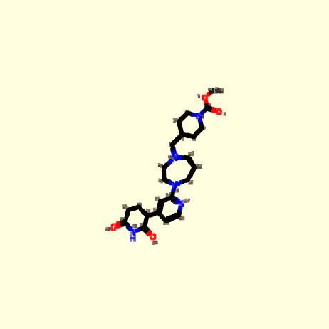 CC(C)(C)OC(=O)N1CCC(CN2CCCN(c3cc(C4CCC(=O)NC4=O)ccn3)CC2)CC1